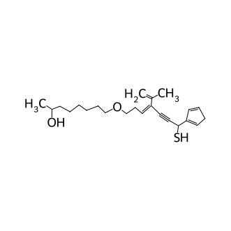 C=C(C)C(C#CC(S)C1=CCC=C1)=CCCOCCCCCCC(C)O